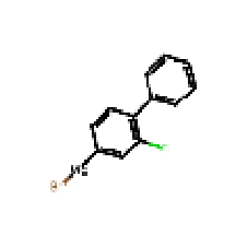 Clc1c[c]([Mg][Br])ccc1-c1ccccc1